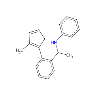 CC1=C(c2ccccc2C(C)Nc2ccccc2)CC=C1